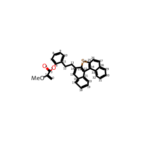 C=C(OC)C(=O)Oc1ccccc1CCc1cc2ccccc2c2c1sc1ccc3ccccc3c12